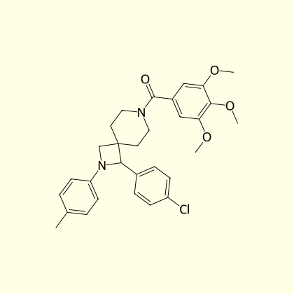 COc1cc(C(=O)N2CCC3(CC2)CN(c2ccc(C)cc2)C3c2ccc(Cl)cc2)cc(OC)c1OC